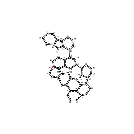 c1ccc2cc3c(cc2c1)c1cccc2ccc4c5cccc(-c6nc(-c7cccc8c7sc7ccccc78)c7ccccc7n6)c5n3c4c21